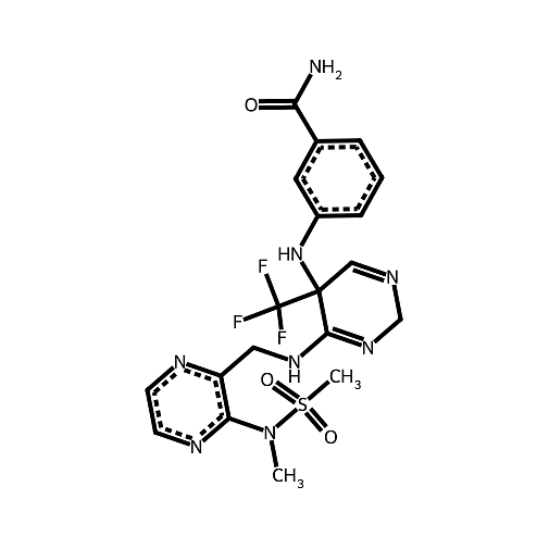 CN(c1nccnc1CNC1=NCN=CC1(Nc1cccc(C(N)=O)c1)C(F)(F)F)S(C)(=O)=O